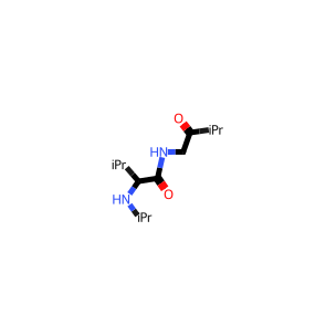 CC(C)NC(C(=O)NCC(=O)C(C)C)C(C)C